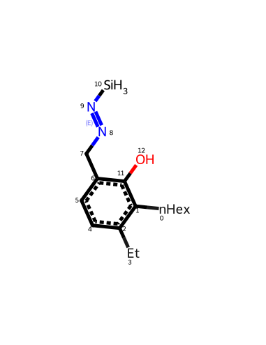 CCCCCCc1c(CC)ccc(C/N=N/[SiH3])c1O